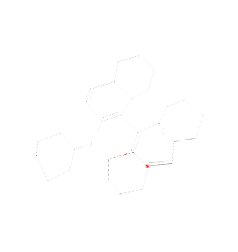 Oc1ccc2c(c1-c1c(P(C3CCCCC3)C3CCCCC3)ccc3c1CCCC3)CCCC2